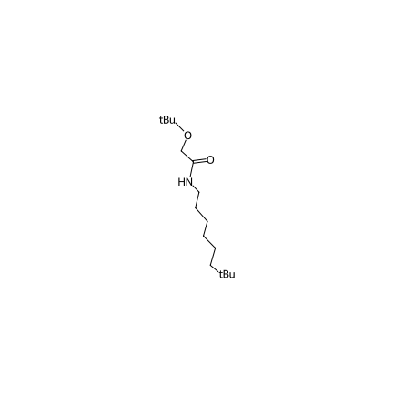 CC(C)(C)CCCCCCNC(=O)COC(C)(C)C